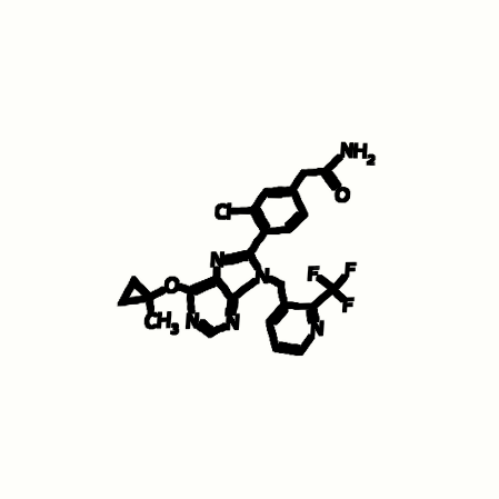 CC1(Oc2ncnc3c2nc(-c2ccc(CC(N)=O)cc2Cl)n3Cc2cccnc2C(F)(F)F)CC1